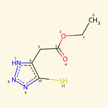 CCOC(=O)Cc1[nH]nnc1S